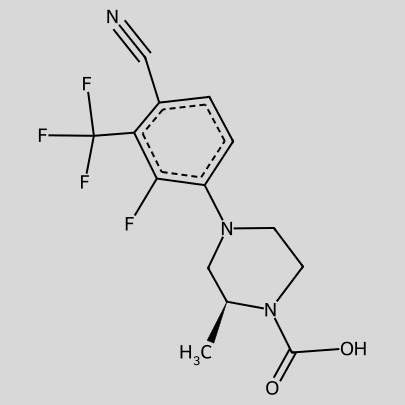 C[C@H]1CN(c2ccc(C#N)c(C(F)(F)F)c2F)CCN1C(=O)O